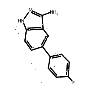 Nc1n[nH]c2ccc(-c3ccc(F)cc3)cc12